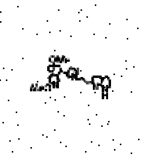 COC(=O)CC(c1ccc(OC)nc1)c1cnn(CCCc2ccc3c(n2)NCCC3)c1